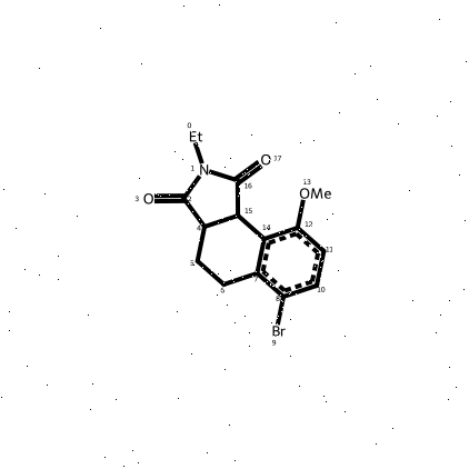 CCN1C(=O)C2CCc3c(Br)ccc(OC)c3C2C1=O